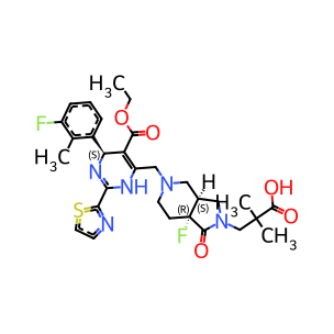 CCOC(=O)C1=C(CN2CC[C@]3(F)C(=O)N(CC(C)(C)C(=O)O)C[C@@H]3C2)NC(c2nccs2)=N[C@H]1c1cccc(F)c1C